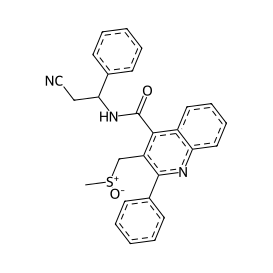 C[S+]([O-])Cc1c(-c2ccccc2)nc2ccccc2c1C(=O)NC(CC#N)c1ccccc1